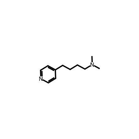 CN(C)CCCCc1ccncc1